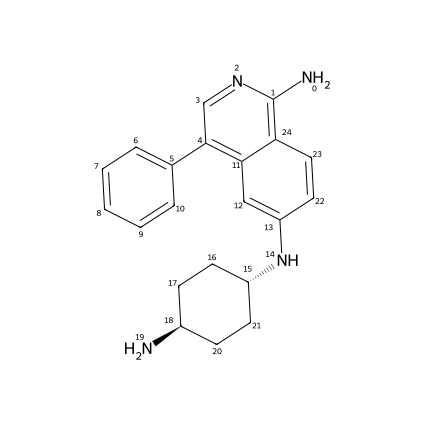 Nc1ncc(-c2ccccc2)c2cc(N[C@H]3CC[C@H](N)CC3)ccc12